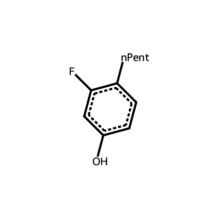 CCCCCc1ccc(O)cc1F